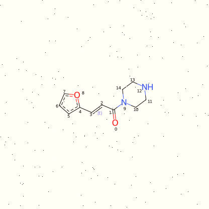 O=C(/C=C/c1ccco1)N1CCNCC1